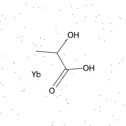 CC(O)C(=O)O.[Yb]